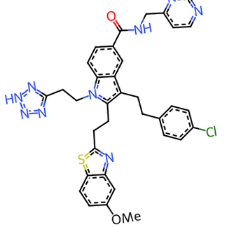 COc1ccc2sc(CCc3c(CCc4ccc(Cl)cc4)c4cc(C(=O)NCc5ccncn5)ccc4n3CCc3nn[nH]n3)nc2c1